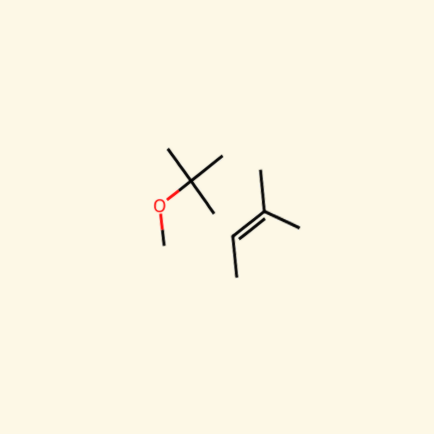 CC=C(C)C.COC(C)(C)C